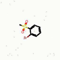 CS(=O)(=O)c1c[c]ccc1Br